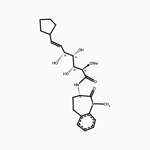 CO[C@@H](C(=O)N[C@H]1CCc2ccccc2N(C)C1=O)[C@H](O)[C@@H](O)[C@H](O)C=CC1CCCC1